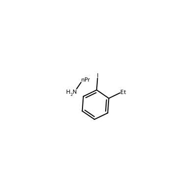 CCCN.CCc1ccccc1I